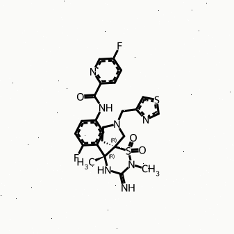 CN1C(=N)N[C@](C)(c2cc(NC(=O)c3ccc(F)cn3)ccc2F)[C@]2(CCN(Cc3cscn3)C2)S1(=O)=O